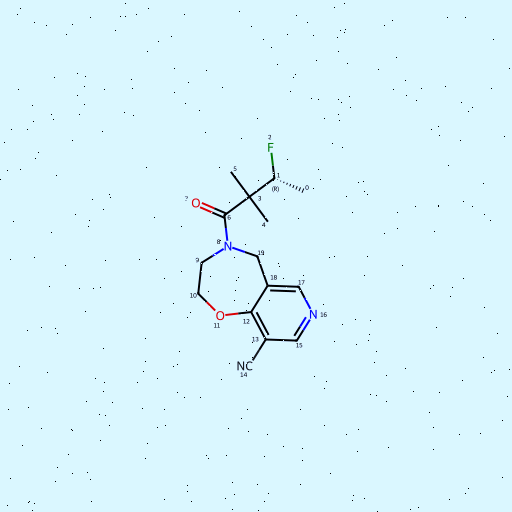 C[C@@H](F)C(C)(C)C(=O)N1CCOc2c(C#N)cncc2C1